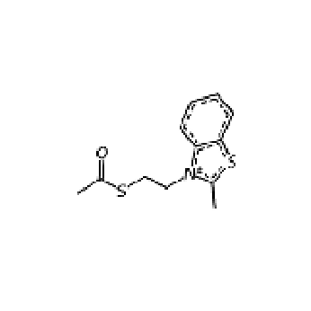 CC(=O)SCC[n+]1c(C)sc2ccccc21